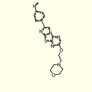 C=Nc1ccc(-c2cn3c(n2)sc2nc(OCCN4CCOCC4)cnc23)cc1